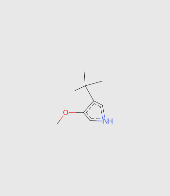 COc1c[nH]cc1C(C)(C)C